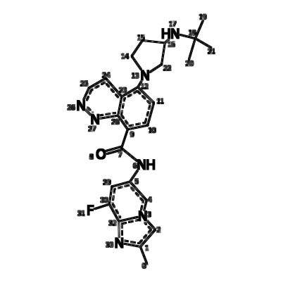 Cc1cn2cc(NC(=O)c3ccc(N4CCC(NC(C)(C)C)C4)c4ccnnc34)cc(F)c2n1